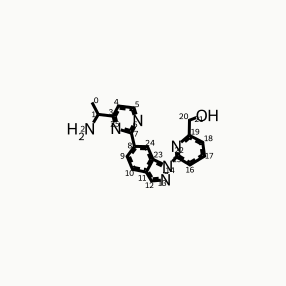 CC(N)c1ccnc(-c2ccc3cnn(-c4cccc(CO)n4)c3c2)n1